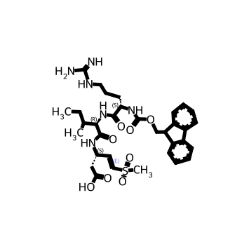 CCC(C)[C@@H](NC(=O)[C@H](CCCNC(=N)N)NC(=O)OCC1c2ccccc2-c2ccccc21)C(=O)N[C@H](/C=C/S(C)(=O)=O)CC(=O)O